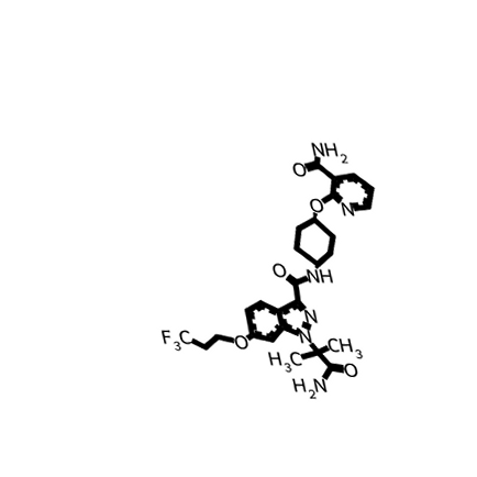 CC(C)(C(N)=O)n1nc(C(=O)N[C@H]2CC[C@H](Oc3ncccc3C(N)=O)CC2)c2ccc(OCCC(F)(F)F)cc21